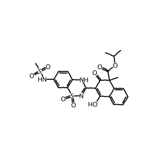 CC(C)OC(=O)C1(C)C(=O)C(C2=NS(=O)(=O)c3cc(NS(C)(=O)=O)ccc3N2)=C(O)c2ccccc21